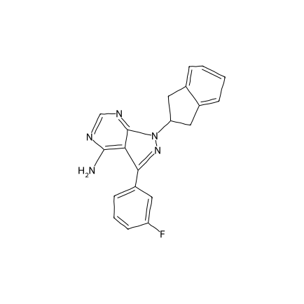 Nc1ncnc2c1c(-c1cccc(F)c1)nn2C1Cc2ccccc2C1